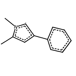 Cc1cc(-c2ccccc2)[c]n1C